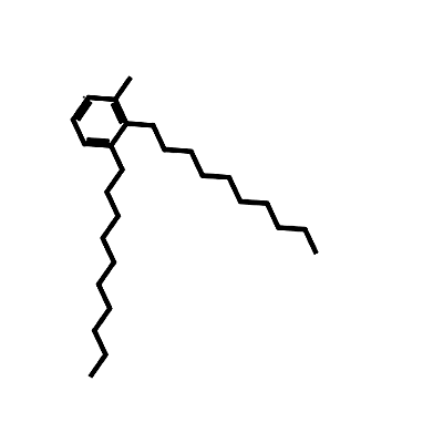 CCCCCCCCCCc1cc[c]c(C)c1CCCCCCCCCC